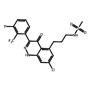 CS(=O)(=O)NCCCc1cc(Cl)cc2[nH]nc(-c3cccc(F)c3C(F)(F)F)c(=O)c12